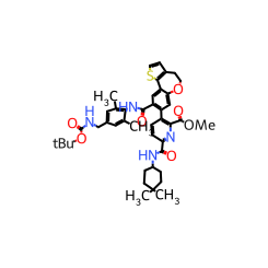 COC(=O)c1nc(C(=O)NC2CCC(C)(C)CC2)ccc1-c1cc2c(cc1C(=O)Nc1c(C)cc(CNC(=O)OC(C)(C)C)cc1C)-c1sccc1CCO2